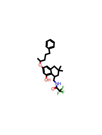 CC(CCCc1ccccc1)Oc1cc(O)c2c(c1)CC(C)(C)CC2CNC(=O)C(F)(F)F